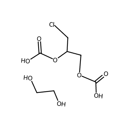 O=C(O)OCC(CCl)OC(=O)O.OCCO